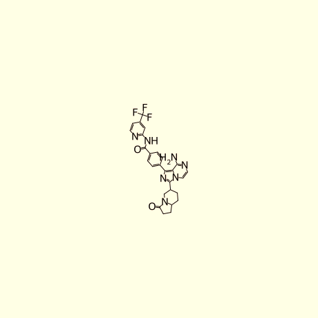 Nc1nccn2c(C3CCC4CCC(=O)N4C3)nc(-c3ccc(C(=O)Nc4cc(C(F)(F)F)ccn4)cc3)c12